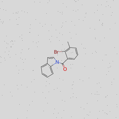 Cc1cccc(C(=O)n2ccc3ccccc32)c1Br